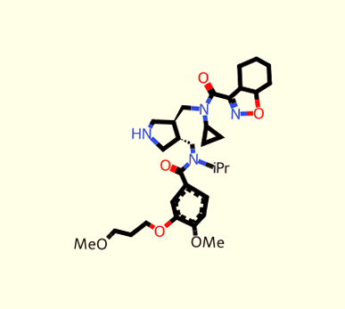 COCCCOc1cc(C(=O)N(C[C@@H]2CNC[C@H]2CN(C(=O)C2=NOC3CCCCC23)C2CC2)C(C)C)ccc1OC